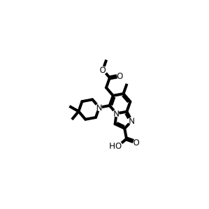 COC(=O)Cc1c(C)cc2nc(C(=O)O)cn2c1N1CCC(C)(C)CC1